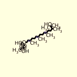 C/C(=C\CC/C(C)=C/COP(=O)(O)OP(C)(=O)O)CC/C=C(\C)CCC(C)C(C)(C)O